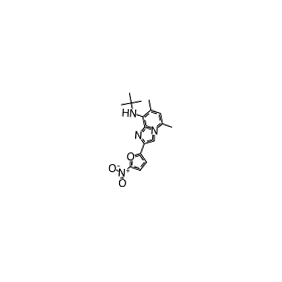 Cc1cc(C)n2cc(-c3ccc([N+](=O)[O-])o3)nc2c1NC(C)(C)C